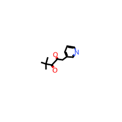 CC(C)(C)C(=O)C(=O)Cc1cccnc1